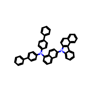 c1ccc(-c2ccc(N(c3ccc(-c4ccccc4)cc3)c3cccc4cc(-n5c6ccccc6c6c7ccccc7ccc65)ccc34)cc2)cc1